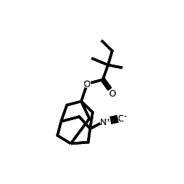 [C-]#[N+]C12CC3CC(C1)CC(OC(=O)C(C)(C)CC)(C3)C2